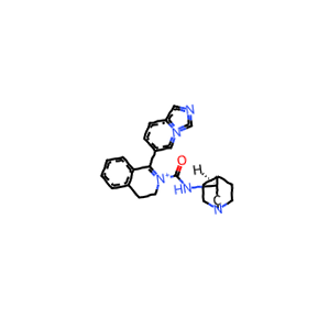 O=C(N[C@@H]1CN2CCC1CC2)[N+]1=C(c2ccc3cncn3c2)c2ccccc2CC1